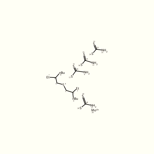 CCCCC(CC)CSCC(CC)CCCC.NC(=S)[S-].NC(=S)[S-].NC(=S)[S-].NC(=S)[S-].[Mo+4]